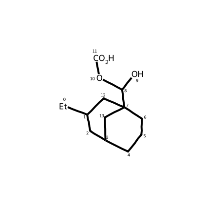 CCC1CC2CCCC(C(O)OC(=O)O)(C1)C2